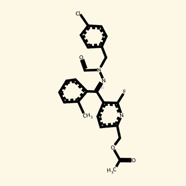 CC(=O)OCc1ccc(/C(=N/N(C=O)Cc2ccc(Cl)cc2)c2ccccc2C)c(F)n1